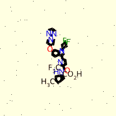 CC1CC2CC(C1)C(NC(=O)c1ccc(-c3cn(C4CC(F)(F)C4)c4cc(OC5CCN(c6ncccn6)CC5)ccc34)nc1C(F)(F)F)(C(=O)O)C2